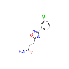 NC(=O)CCc1nc(-c2cccc(Cl)c2)no1